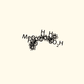 COc1cc(CC(=O)Nc2ccc(C(CC(=O)O)NC(=O)c3ccccc3)cc2)ccc1NC(=O)N1CCc2ccccc21